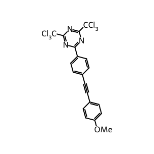 COc1ccc(C#Cc2ccc(-c3nc(C(Cl)(Cl)Cl)nc(C(Cl)(Cl)Cl)n3)cc2)cc1